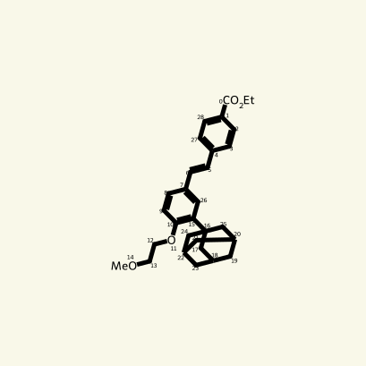 CCOC(=O)c1ccc(C=Cc2ccc(OCCOC)c(C34CC5CC(CC(C5)C3)C4)c2)cc1